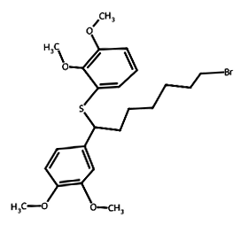 COc1ccc(C(CCCCCCBr)Sc2cccc(OC)c2OC)cc1OC